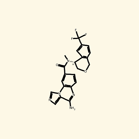 CN(C(=O)c1ccc2nc(N)c3cncn3c2c1)[C@H]1COCc2ccc(C(F)(F)F)cc21